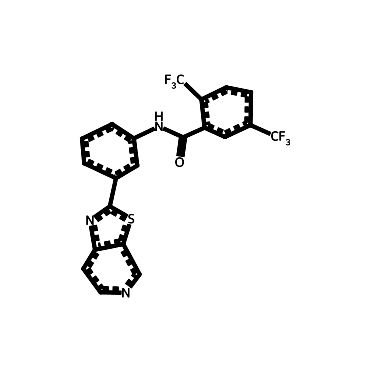 O=C(Nc1cccc(-c2nc3ccncc3s2)c1)c1cc(C(F)(F)F)ccc1C(F)(F)F